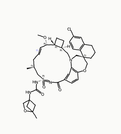 CO[C@H]1/C=C/C[C@H](C)C[S@@](=O)(NC(=O)NC23COC(C)(C2)C3)=NC(=O)c2ccc3c(c2)N(C[C@@H]2CC[C@H]21)C[C@@]1(CCCc2cc(Cl)ccc21)CO3